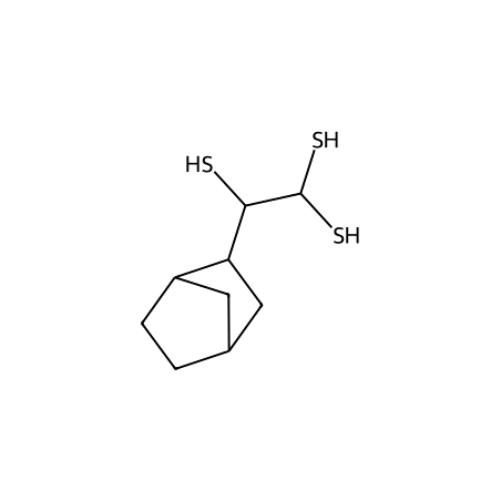 SC(S)C(S)C1CC2CCC1C2